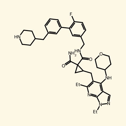 CCc1nc2c(cnn2CC)c(NC2CCOCC2)c1CC1CC1(C(N)=O)C(=O)NCc1ccc(F)c(-c2cccc(CC3CCNCC3)c2)c1